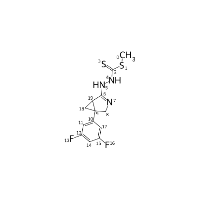 CSC(=S)NNC1=NCC2(c3cc(F)cc(F)c3)CC12